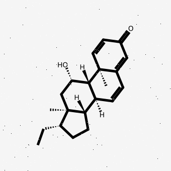 CC[C@H]1CC[C@H]2[C@@H]3C=CC4=CC(=O)C=C[C@]4(C)[C@H]3[C@@H](O)C[C@]12C